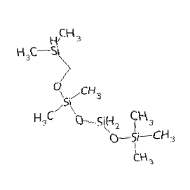 C[SiH](C)CO[Si](C)(C)O[SiH2]O[Si](C)(C)C